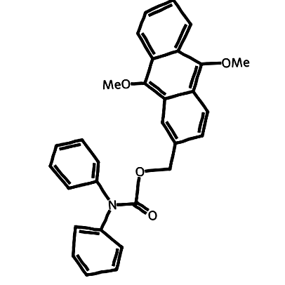 COc1c2ccccc2c(OC)c2cc(COC(=O)N(c3ccccc3)c3ccccc3)ccc12